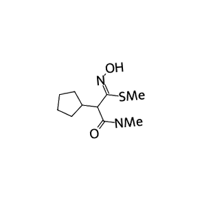 CNC(=O)C(C(=NO)SC)C1CCCC1